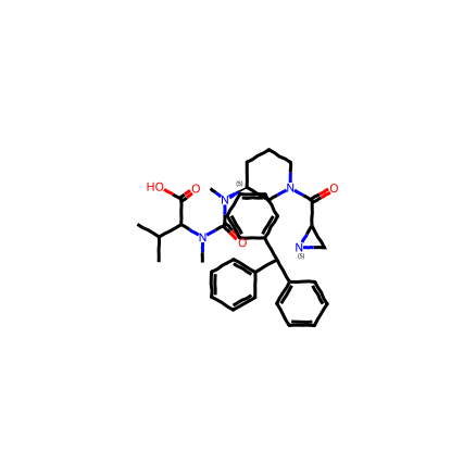 CC(C)C(C(=O)O)N(C)C(=O)N(C)[C@H]1CCCN(C(=O)C2C[N@@]2C(c2ccccc2)(c2ccccc2)c2ccccc2)C1